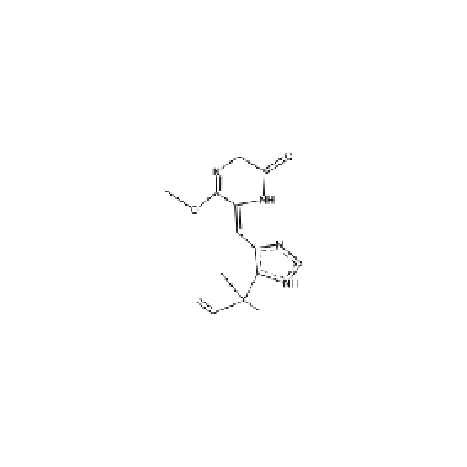 C=CC(C)(C)c1[nH]cnc1/C=C1\NC(=O)CN=C1OC